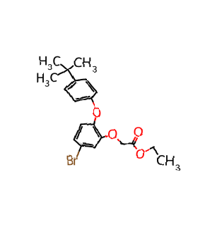 CCOC(=O)COc1cc(Br)ccc1Oc1ccc(C(C)(C)C)cc1